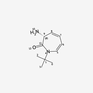 CC(C)(C)N1C=CC=C[C@@H](N)C1=O